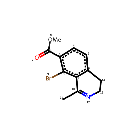 COC(=O)c1ccc2c(c1Br)C(C)=NCC2